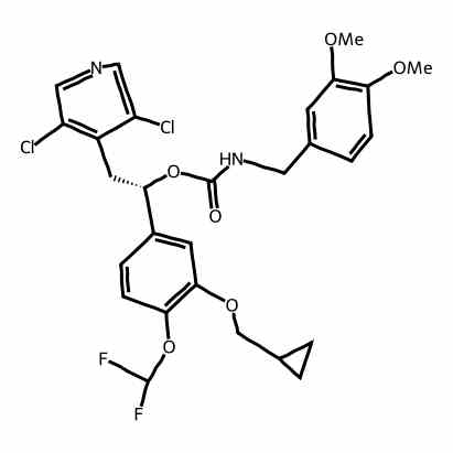 COc1ccc(CNC(=O)O[C@@H](Cc2c(Cl)cncc2Cl)c2ccc(OC(F)F)c(OCC3CC3)c2)cc1OC